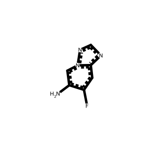 Nc1cn2ncnc2cc1F